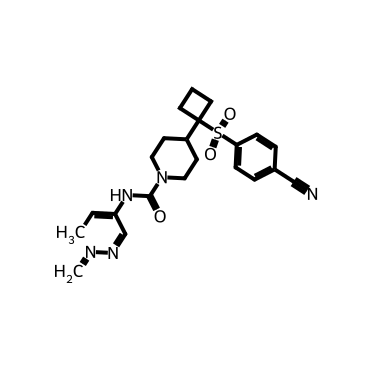 C=N/N=C\C(=C/C)NC(=O)N1CCC(C2(S(=O)(=O)c3ccc(C#N)cc3)CCC2)CC1